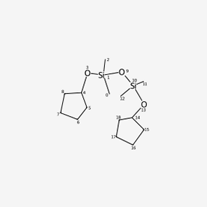 C[Si](C)(OC1CCCC1)O[Si](C)(C)OC1CCCC1